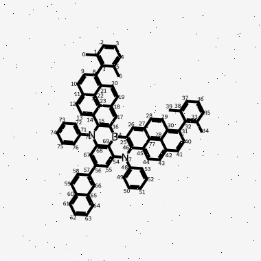 Cc1cccc(C)c1-c1ccc2ccc3c4c(cc5ccc1c2c53)B1c2cc3ccc5c(-c6c(C)cccc6C)ccc6ccc(c2N(c2ccccc2)c2cc(-c7ccc8ccccc8c7)cc(c21)N4c1ccccc1)c3c65